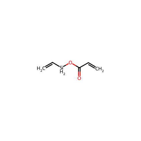 C=C[SiH2]OC(=O)C=C